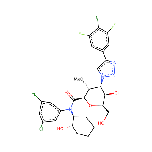 CO[C@@H]1[C@@H](n2cc(-c3cc(F)c(Cl)c(F)c3)nn2)[C@@H](O)[C@@H](CO)O[C@H]1C(=O)N(c1cc(Cl)cc(Cl)c1)[C@H]1CCCC[C@@H]1O